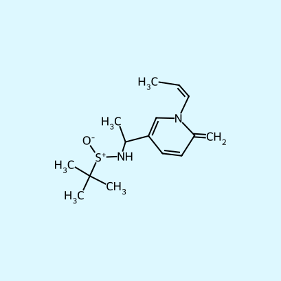 C=C1C=CC(C(C)N[S+]([O-])C(C)(C)C)=CN1/C=C\C